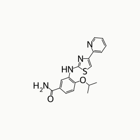 CC(C)Oc1ccc(C(N)=O)cc1Nc1nc(-c2ccccn2)cs1